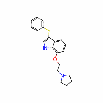 c1ccc(Sc2c[nH]c3c(OCCN4CCCC4)cccc23)cc1